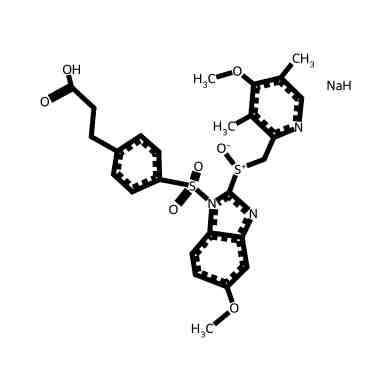 COc1ccc2c(c1)nc([S+]([O-])Cc1ncc(C)c(OC)c1C)n2S(=O)(=O)c1ccc(CCC(=O)O)cc1.[NaH]